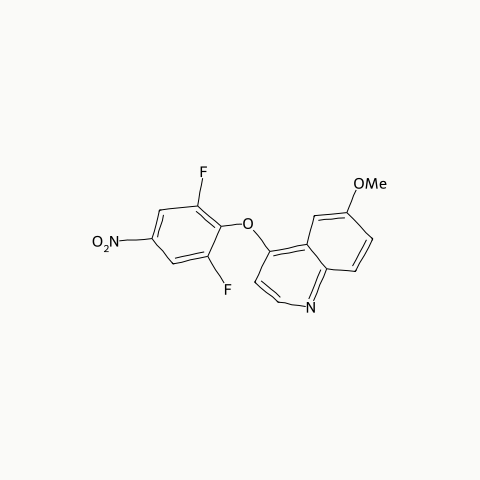 COc1ccc2nccc(Oc3c(F)cc([N+](=O)[O-])cc3F)c2c1